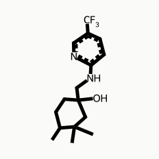 CC1CCC(O)(CNc2ccc(C(F)(F)F)cn2)CC1(C)C